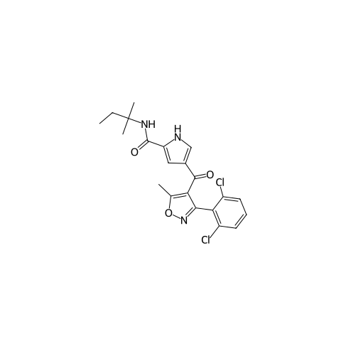 CCC(C)(C)NC(=O)c1cc(C(=O)c2c(-c3c(Cl)cccc3Cl)noc2C)c[nH]1